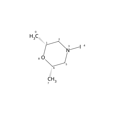 C[C@@H]1CN(I)C[C@H](C)O1